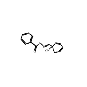 NC1(C=NOC(=O)c2ccccc2)C=CC=CC1